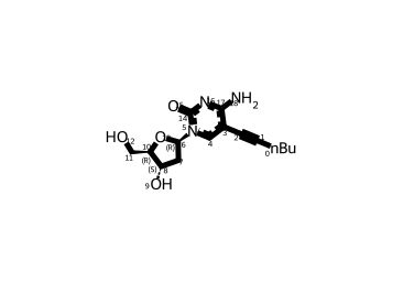 CCCCC#Cc1cn([C@H]2C[C@H](O)[C@@H](CO)O2)c(=O)nc1N